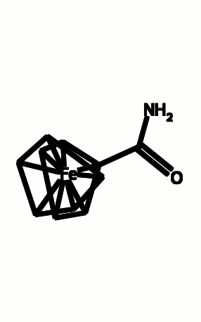 NC(=O)[C]12[CH]3[CH]4[CH]5[CH]1[Fe]45321678[CH]2[CH]1[CH]6[CH]7[CH]28